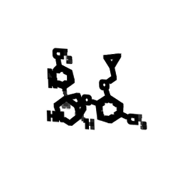 FC(F)(F)c1ccc(OC2[C@H]3CC[C@]2(c2ccc(C(F)(F)F)nn2)CNC3)c(OCC2CC2)c1